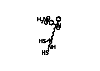 NS(=O)(=O)c1ccc(-c2c(-c3ccccc3)noc2CCCCCCN(CCS)CCNCCS)cc1